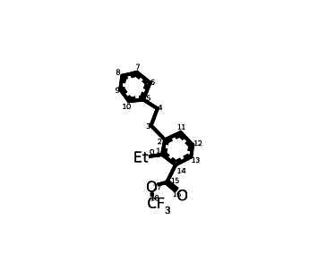 CCc1c(CCc2ccccc2)cccc1C(=O)OC(F)(F)F